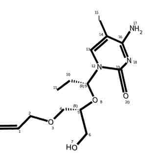 C=CCOC[C@@H](CO)O[C@H](CC)n1cc(I)c(N)nc1=O